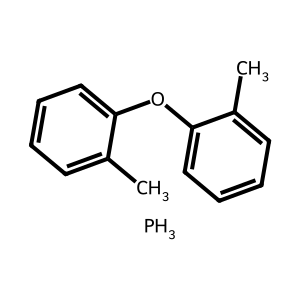 Cc1ccccc1Oc1ccccc1C.P